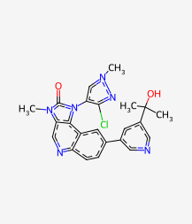 Cn1cc(-n2c(=O)n(C)c3cnc4ccc(-c5cncc(C(C)(C)O)c5)cc4c32)c(Cl)n1